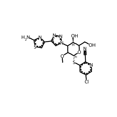 COC1C(n2cc(-c3csc(N)n3)nn2)[C@@H](O)C(CO)O[C@@H]1Sc1cc(Cl)cnc1C#N